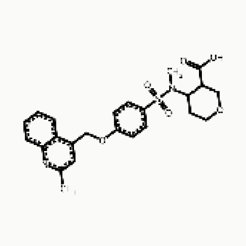 Cc1cc(COc2ccc(S(=O)(=O)N(C)C3CCOCC3C(=O)O)cc2)c2ccccc2n1